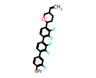 C=CC1CCC(c2ccc(-c3ccc(-c4ccc(CCC)c(F)c4)c(F)c3F)c(F)c2F)OC1